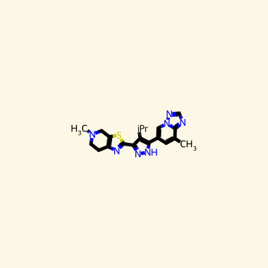 Cc1cc(-c2[nH]nc(-c3nc4c(s3)CN(C)CC4)c2C(C)C)cn2ncnc12